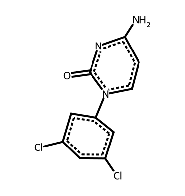 Nc1ccn(-c2cc(Cl)cc(Cl)c2)c(=O)n1